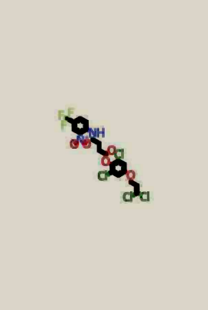 O=C(CCCNc1ccc(C(F)(F)F)cc1[N+](=O)[O-])Oc1c(Cl)cc(OCC=C(Cl)Cl)cc1Cl